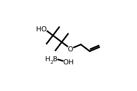 BO.C=CCOC(C)(C)C(C)(C)O